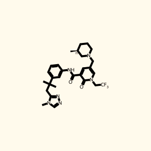 C[C@H]1CCCN(Cc2cc(C(=O)Nc3cccc(C(C)(C)Cc4nncn4C)c3)c(=O)n(CC(F)(F)F)c2)C1